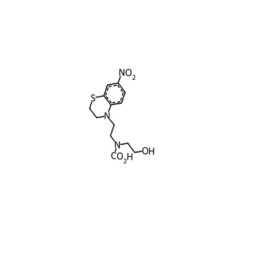 O=C(O)N(CCO)CCN1CCSc2cc([N+](=O)[O-])ccc21